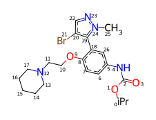 CC(C)OC(=O)Nc1ccc(OCCN2CCCCC2)c(-c2c(Br)cnn2C)c1